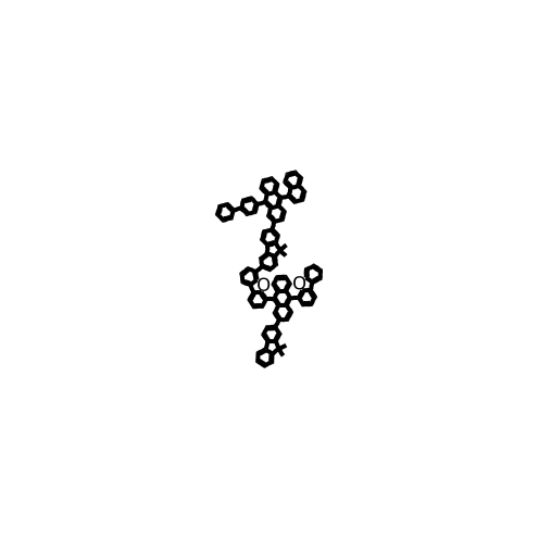 CC1(C)c2ccccc2-c2ccc(-c3ccc4c(-c5cccc6c5oc5ccccc56)c5ccccc5c(-c5cccc6c5oc5c(-c7ccc8c(c7)-c7ccc(-c9ccc%10c(-c%11cccc%12ccccc%11%12)c%11ccccc%11c(-c%11ccc(-c%12ccccc%12)cc%11)c%10c9)cc7C8(C)C)cccc56)c4c3)cc21